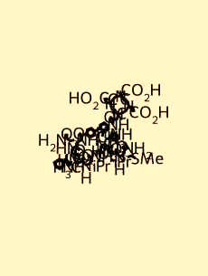 CSCC[C@H](NC(=O)[C@H](CC(C)C)NC(=O)[C@H](Cc1c[nH]cn1)NC(=O)CNC(=O)[C@@H](NC(=O)[C@H](C)NC(=O)[C@H](Cc1c[nH]c2ccccc12)NC(=O)[C@H](CCC(N)=O)NC(=O)c1ccc(-c2ccc(NC(=O)CN3CCN(CC(=O)O)CCN(CC(=O)O)CCN(CC(=O)O)CC3)cc2C)cc1)C(C)C)C(N)=O